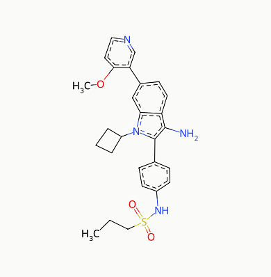 CCCS(=O)(=O)Nc1ccc(-c2c(N)c3ccc(-c4cnccc4OC)cc3n2C2CCC2)cc1